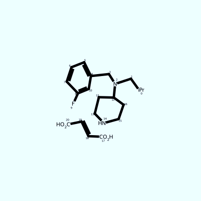 CC(C)CN(Cc1cccc(F)c1)C1CCNCC1.O=C(O)/C=C/C(=O)O